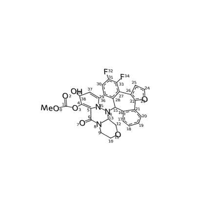 COC(=O)OC1=C2C(=O)N3CCOCC3N(C3c4ccccc4-c4occc4-c4c3ccc(F)c4F)N2C=CC1O